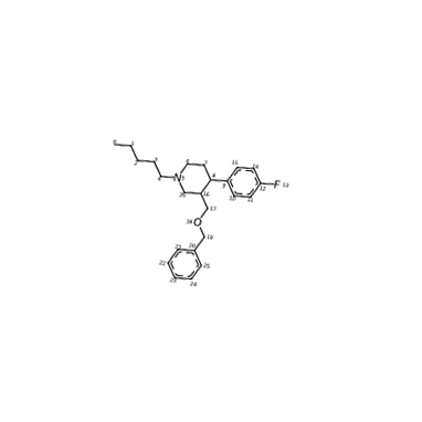 CCCCCN1CCC(c2ccc(F)cc2)C(COCc2ccccc2)C1